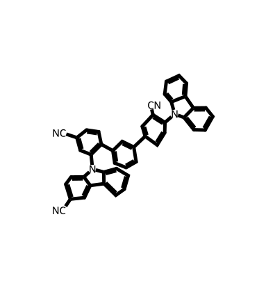 N#Cc1ccc(-c2cccc(-c3ccc(-n4c5ccccc5c5ccccc54)c(C#N)c3)c2)c(-n2c3ccccc3c3cc(C#N)ccc32)c1